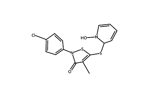 Cc1c(SC2C=CC=CN2O)sn(-c2ccc(Cl)cc2)c1=O